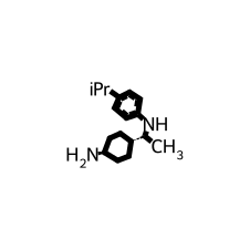 CC(C)c1ccc(NC(C)[C@H]2CC[C@H](N)CC2)cc1